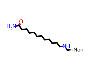 CCCCCCCCCCNCCCCCCCCCCCC(N)=O